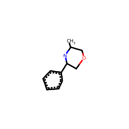 CC1COCC(c2ccccc2)[N]1